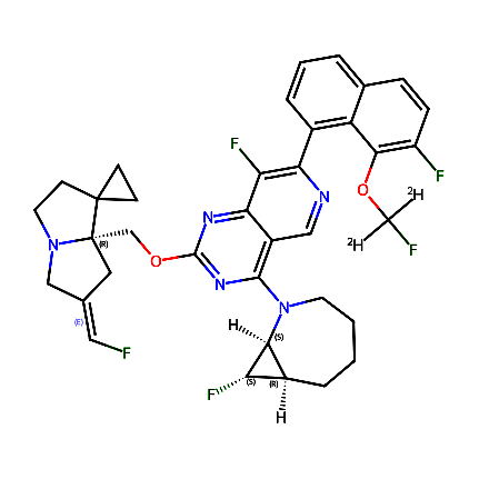 [2H]C([2H])(F)Oc1c(F)ccc2cccc(-c3ncc4c(N5CCCC[C@H]6[C@H](F)[C@H]65)nc(OC[C@]56C/C(=C\F)CN5CCC65CC5)nc4c3F)c12